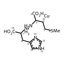 CSCCC(N)C(=O)O.NC(Cc1c[nH]cn1)C(=O)O.[Cu]